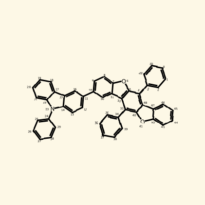 c1ccc(-c2c3oc4ccc(-c5ccc6c(c5)c5ccccc5n6-c5ccccc5)cc4c3c(-c3ccccc3)c3oc4ccccc4c23)cc1